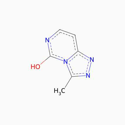 Cc1nnc2ccnc(O)n12